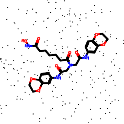 O=C(CCCCCC(=O)N(CC(=O)Nc1ccc2c(c1)OCCO2)CC(=O)Nc1ccc2c(c1)OCCO2)NO